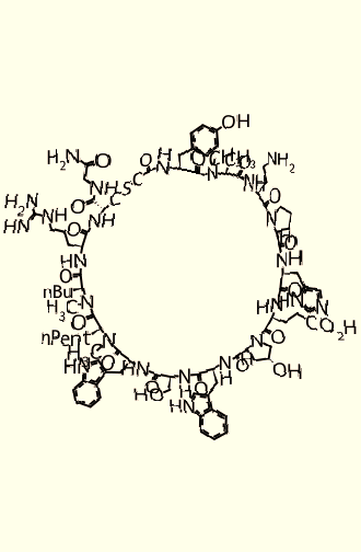 CCCCC[C@H]1C(=O)N(C)[C@@H](CCCC)C(=O)N[C@@H](CCCNC(=N)N)C(=O)N[C@H](C(=O)NCC(N)=O)CSCC(=O)N[C@@H](Cc2ccc(O)cc2)C(=O)N(C)[C@@H](C)C(=O)N[C@@H](CCN)C(=O)N2CCC[C@H]2C(=O)N[C@@H](Cc2cnc[nH]2)C(=O)N[C@@H](CCC(=O)O)C(=O)N2C[C@H](O)C[C@H]2C(=O)N[C@@H](Cc2c[nH]c3ccccc23)C(=O)N[C@@H](CO)C(=O)N[C@@H](Cc2c[nH]c3ccccc23)C(=O)N1C